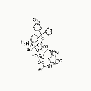 Cc1ccc(C(OC[C@H]2O[C@@H](n3cnc4c(=O)[nH]c(NC(=O)C(C)C)nc43)[C@@H](O[PH](=O)O)C2O[Si](C)(C)C(C)(C)C)(c2ccccc2)c2ccc(C)cc2)cc1